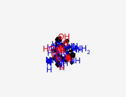 CCNC(=O)[C@@H]1CCCC1C(=O)[C@H](CCCNC(=N)N)NC(=O)[C@H](CC(C)C)NC(=O)[C@@H](COC(C)(C)C)NC(=O)[C@H](Cc1ccc(O)cc1)NC(=O)[C@H](CO)NC(=O)[C@H](Cc1c[nH]c2ccccc12)NC(=O)[C@H](Cc1c[nH]cn1)NC(=O)[C@H]1CCC(=O)N1